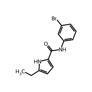 CCc1ccc(C(=O)Nc2cccc(Br)c2)[nH]1